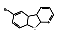 BrC1=CC2C(C=C1)OC1N=CC=CC12